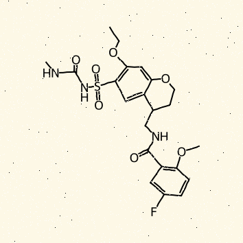 CCOc1cc2c(cc1S(=O)(=O)NC(=O)NC)C(CNC(=O)c1cc(F)ccc1OC)CCO2